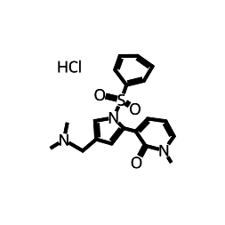 CN(C)Cc1cc(-c2cccn(C)c2=O)n(S(=O)(=O)c2ccccc2)c1.Cl